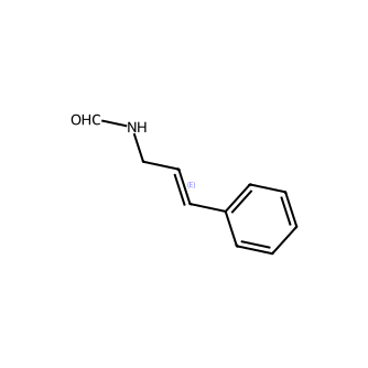 O=CNC/C=C/c1ccccc1